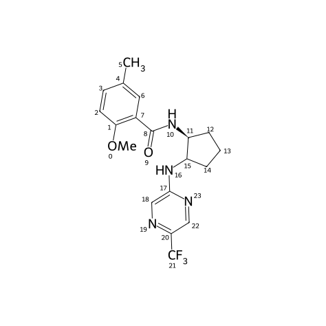 COc1ccc(C)cc1C(=O)N[C@H]1CCCC1Nc1cnc(C(F)(F)F)cn1